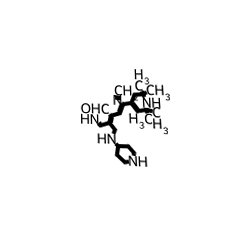 C=N/C(=C\C(C=O)=C(\C=N)CNC1CCNCC1)C1=CC(C)(C)NC(C)(C)C1